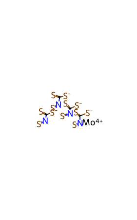 S=NC(=S)[S-].S=NC(=S)[S-].S=NC(=S)[S-].S=NC(=S)[S-].[Mo+4]